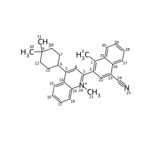 Cc1c(-c2cc(C3CCC(C)(C)CC3)c3ccccc3[n+]2C)cc(C#N)c2ccccc12